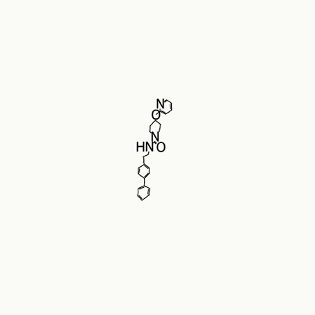 O=C(NCCc1ccc(-c2ccccc2)cc1)N1CCC(Oc2ccccn2)CC1